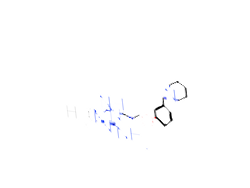 CN1N=C(N)N(CCCOc2cccc(CN3CCCCC3)c2)C1N